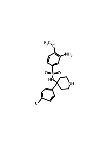 Nc1cc(S(=O)(=O)NC2(c3ccc(Cl)cc3)CCNCC2)ccc1OC(F)(F)F